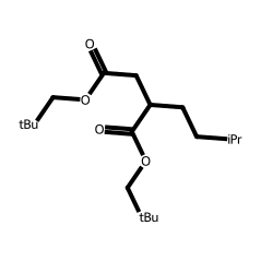 CC(C)CCC(CC(=O)OCC(C)(C)C)C(=O)OCC(C)(C)C